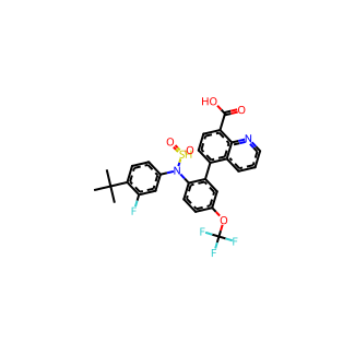 CC(C)(C)c1ccc(N(c2ccc(OC(F)(F)F)cc2-c2ccc(C(=O)O)c3ncccc23)[SH](=O)=O)cc1F